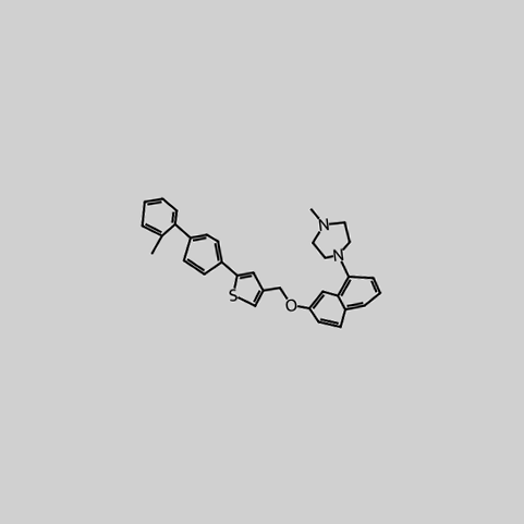 Cc1ccccc1-c1ccc(-c2cc(COc3ccc4cccc(N5CCN(C)CC5)c4c3)cs2)cc1